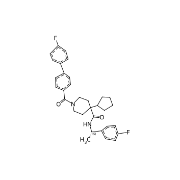 C[C@H](NC(=O)C1(C2CCCC2)CCN(C(=O)c2ccc(-c3ccc(F)cc3)cc2)CC1)c1ccc(F)cc1